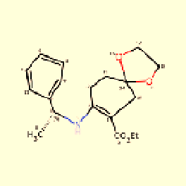 CCOC(=O)C1=C(N[C@H](C)c2ccccc2)CCC2(C1)OCCO2